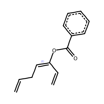 C=CC/C=C(\C=C)OC(=O)c1ccccc1